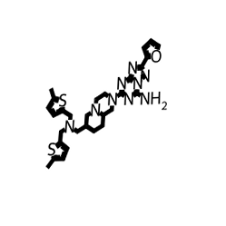 Cc1ccc(CN(Cc2ccc(C)s2)CC2CCC3CN(c4nc(N)n5nc(-c6ccco6)nc5n4)CCN3C2)s1